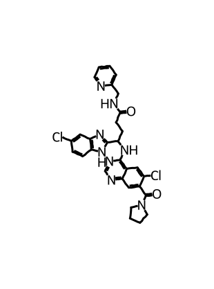 O=C(CCC(Nc1ncnc2cc(C(=O)N3CCCC3)c(Cl)cc12)c1nc2cc(Cl)ccc2[nH]1)NCc1ccccn1